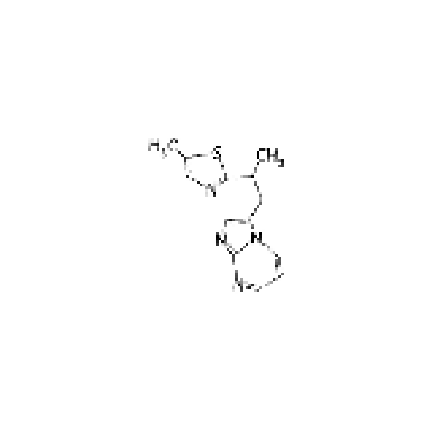 Cc1cnc(C(C)Cc2cnc3ncccn23)s1